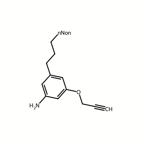 C#CCOc1cc(N)cc(CCCCCCCCCCCC)c1